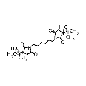 C[Si](C)(C)N1CC(=O)N(CCCCCCN2C(=O)CN([Si](C)(C)C)C2=O)C1=O